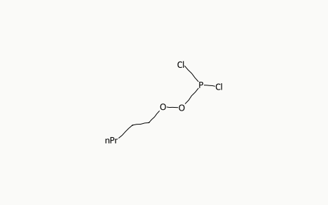 CCCCCOOP(Cl)Cl